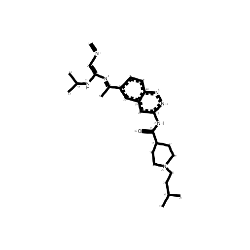 C=N/C=C(\N=C(/C)c1ccc2nnc(NC(=O)C3CCN(CCC(C)C)CC3)cc2c1)NC(C)C